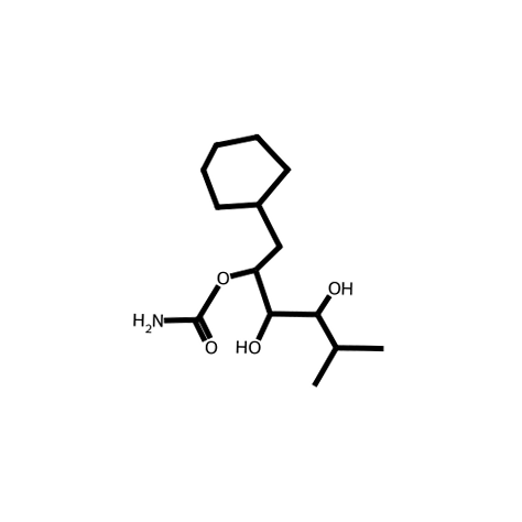 CC(C)C(O)C(O)C(CC1CCCCC1)OC(N)=O